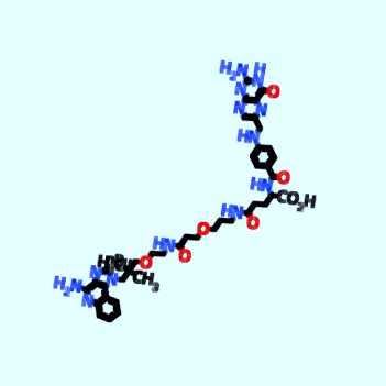 CCCCc1nc2c(N)nc3ccccc3c2n1CC(C)(C)COCCNC(=O)CCOCCCNC(=O)CCC(NC(=O)c1ccc(NCc2cnc3nc(N)[nH]c(=O)c3n2)cc1)C(=O)O